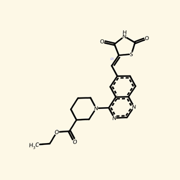 CCOC(=O)C1CCCN(c2ncnc3ccc(/C=C4\SC(=O)NC4=O)cc23)C1